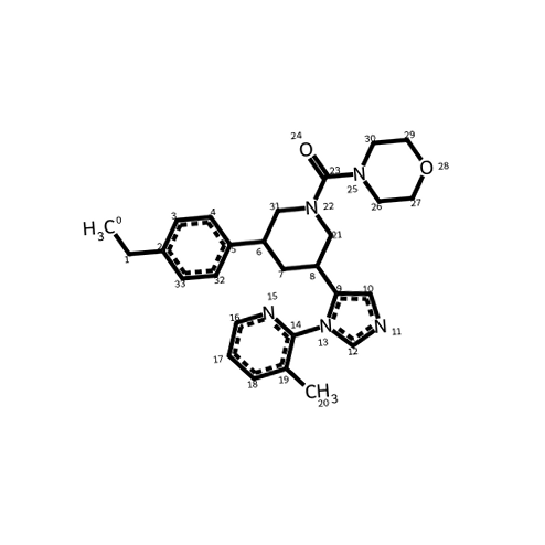 CCc1ccc(C2CC(c3cncn3-c3ncccc3C)CN(C(=O)N3CCOCC3)C2)cc1